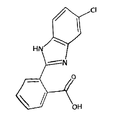 O=C(O)c1ccccc1-c1nc2cc(Cl)ccc2[nH]1